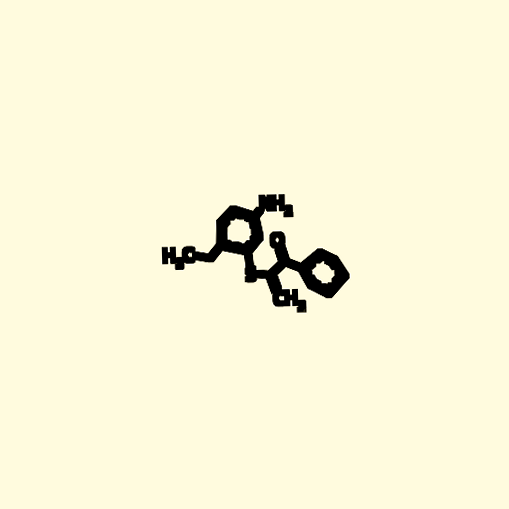 C=C(Sc1cc(N)ccc1CC)C(=O)c1ccccc1